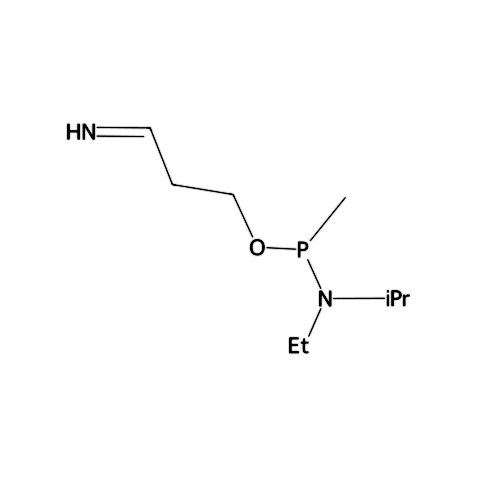 CCN(C(C)C)P(C)OCCC=N